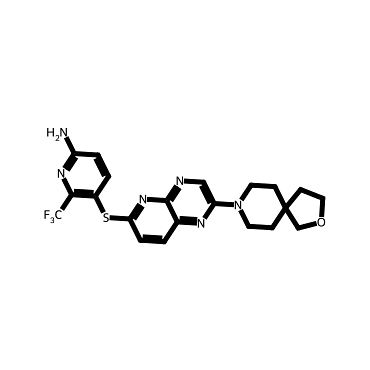 Nc1ccc(Sc2ccc3nc(N4CCC5(CCOC5)CC4)cnc3n2)c(C(F)(F)F)n1